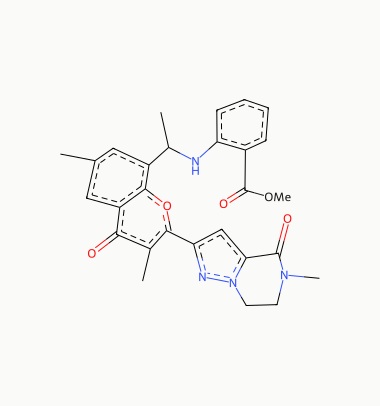 COC(=O)c1ccccc1NC(C)c1cc(C)cc2c(=O)c(C)c(-c3cc4n(n3)CCN(C)C4=O)oc12